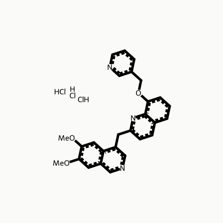 COc1cc2cncc(Cc3ccc4cccc(OCc5cccnc5)c4n3)c2cc1OC.Cl.Cl.Cl